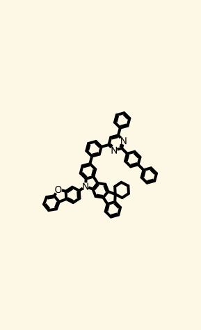 c1ccc(-c2ccc(-c3nc(-c4ccccc4)cc(-c4cccc(-c5ccc6c(c5)c5cc7c(cc5n6-c5ccc6c(c5)oc5ccccc56)-c5ccccc5C75CCCCC5)c4)n3)cc2)cc1